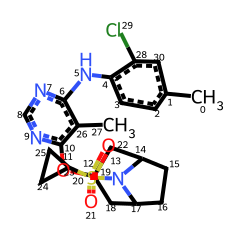 Cc1ccc(Nc2ncnc(OC3CC4CCC(C3)N4S(=O)(=O)C3CC3)c2C)c(Cl)c1